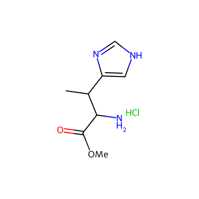 COC(=O)C(N)C(C)c1c[nH]cn1.Cl